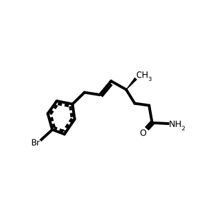 C[C@H](/C=C/Cc1ccc(Br)cc1)CCC(N)=O